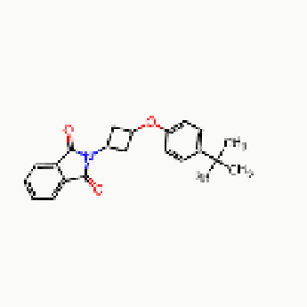 [2H]C(C)(C)c1ccc(OC2CC(N3C(=O)c4ccccc4C3=O)C2)cc1